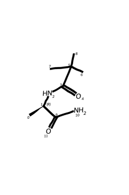 C[C@@H](NC(=O)C(C)(C)C)C(N)=O